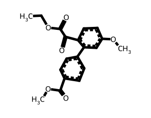 CCOC(=O)C(=O)c1ccc(OC)cc1-c1ccc(C(=O)OC)cc1